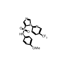 COc1ccc(NS(=O)(=O)c2cncn2-c2ccc(C(F)(F)F)cn2)cc1